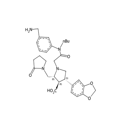 CCCCN(C(=O)CN1C[C@H](c2ccc3c(c2)OCO3)[C@@H](C(=O)O)[C@@H]1CN1CCCC1=O)c1cccc(CN)c1